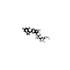 COC[C@H](C)NC(=O)Oc1c[nH]c2ncc(-c3ncn4cc(F)cc(F)c34)nc12